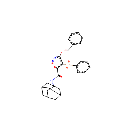 O=C(NC12CC3CC(CC(C3)C1)C2)c1onc(OCc2ccccc2)c1S(=O)(=O)c1ccccc1